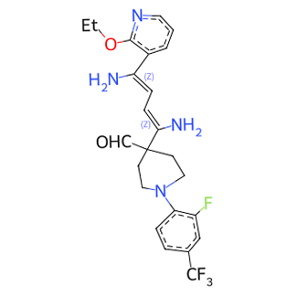 CCOc1ncccc1/C(N)=C/C=C(\N)C1(C=O)CCN(c2ccc(C(F)(F)F)cc2F)CC1